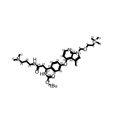 Cc1cn(COCCS(C)(C)C)c2nccc(Oc3ccc(C(CC(=O)NCCCN(C)C)NC(=O)OC(C)(C)C)cc3)c12